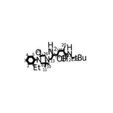 CCc1ccccc1N1CC(C)(C)N(C[C@H](N)[C@@H](O)C[C@@H](C)C(=O)NCC(C)(C)C)CC1=O